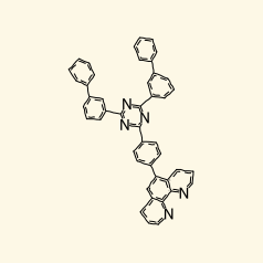 c1ccc(-c2cccc(-c3nc(-c4ccc(-c5cc6cccnc6c6ncccc56)cc4)nc(-c4cccc(-c5ccccc5)c4)n3)c2)cc1